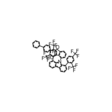 O=C1c2cccc(-n3c4c(-c5ccc(C(F)(F)F)cc5C(F)(F)F)cccc4c4cccc(-c5ccc(C(F)(F)F)cc5C(F)(F)F)c43)c2C(O)N1c1ccc(-c2ccccc2)cc1